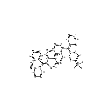 C[Si](C)(C)c1ccc(N(c2ccccc2)c2ccc3ccc4c(N(c5ccccc5)c5ccccc5C#N)ccc5ccc2c3c54)cc1